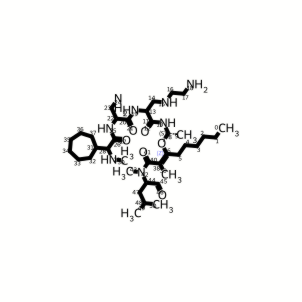 CCCCCC/C(O[C@@H](C)NC(=O)C(CNCCN)NC(=O)C(CN)NC(=O)C(NC)C1CCCCCC1)=C(\C)C(=O)N(C)C(C=O)CC(C)C